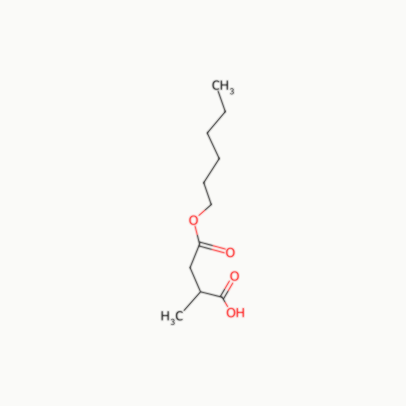 CCCCCCOC(=O)CC(C)C(=O)O